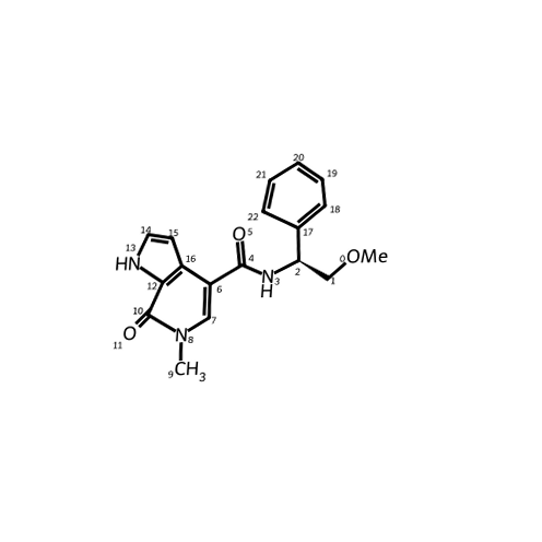 COC[C@@H](NC(=O)c1cn(C)c(=O)c2[nH]ccc12)c1ccccc1